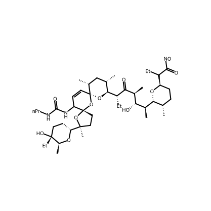 CCCNC(=O)NC1C=C[C@]2(O[C@H]([C@@H](CC)C(=O)[C@@H](C)[C@@H](O)[C@H](C)[C@@H]3O[C@@H](C(CC)C(=O)N=O)CC[C@@H]3C)[C@@H](C)C[C@H]2C)O[C@@]12CC[C@@](C)([C@H]1CC[C@](O)(CC)[C@H](C)O1)O2